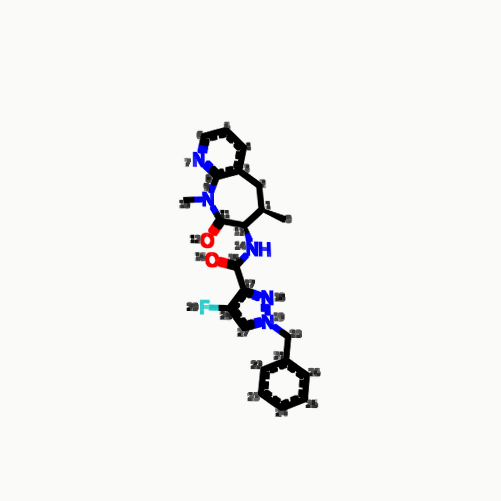 C[C@@H]1Cc2cccnc2N(C)C(=O)[C@@H]1NC(=O)c1nn(Cc2ccccc2)cc1F